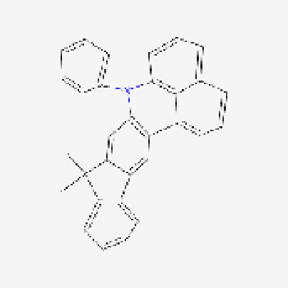 CC1(C)c2ccccc2-c2cc3c(cc21)N(c1ccccc1)c1cccc2cccc-3c12